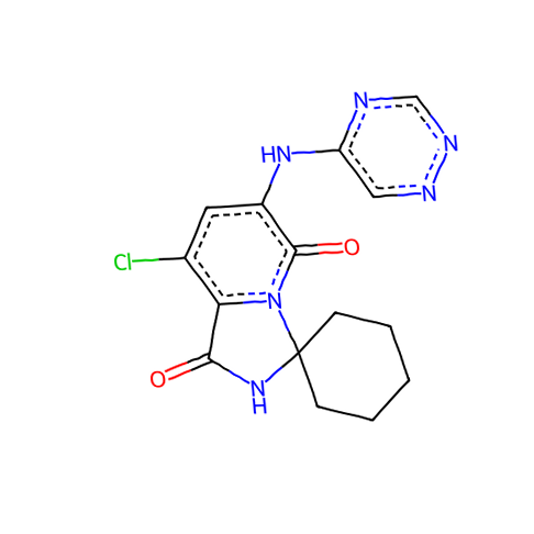 O=C1NC2(CCCCC2)n2c1c(Cl)cc(Nc1cnncn1)c2=O